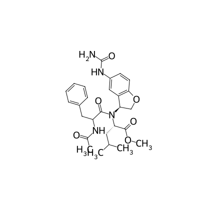 COC(=O)[C@H](CC(C)C)N(C(=O)C(Cc1ccccc1)NC(C)=O)[C@@H]1COc2ccc(NC(N)=O)cc21